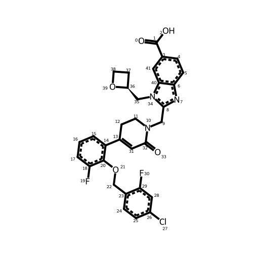 O=C(O)c1ccc2nc(CN3CCC(c4cccc(F)c4OCc4ccc(Cl)cc4F)=CC3=O)n(C[C@@H]3CCO3)c2c1